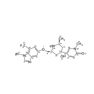 CC(C)n1cnc2cc(OC[C@@H]3C[C@](O)(c4ccc(=O)n(C)c4)C[C@H](C)N3)cc(C(F)(F)F)c21